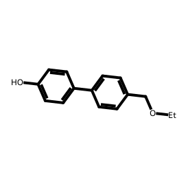 CCOCc1ccc(-c2ccc(O)cc2)cc1